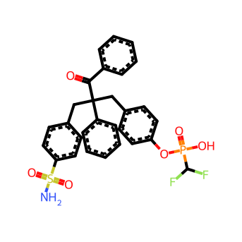 NS(=O)(=O)c1ccc(CC(Cc2ccc(OP(=O)(O)C(F)F)cc2)(C(=O)c2ccccc2)c2ccccc2)cc1